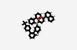 CC(C)(C)c1ccc(-c2cccc3oc4ccc(N(c5ccc(-c6cccc7ccccc67)cc5)c5ccccc5-c5ccccc5)cc4c23)cc1